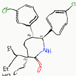 CCC(CC)[C@@]1(CC(=O)O)C[C@H](c2cccc(Cl)c2)[C@@H](c2ccc(Cl)cc2)NC1=O